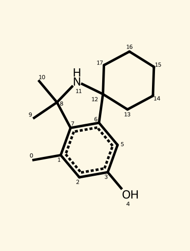 Cc1cc(O)cc2c1C(C)(C)NC21CCCCC1